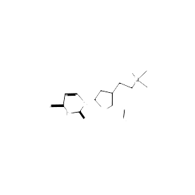 C[Si](C)(C)CCC1C[C@@H](n2ccc(=S)[nH]c2=O)O[C@H]1CO